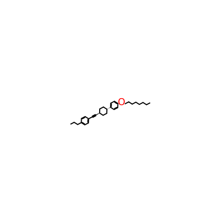 CCCCCCCCOc1ccc([C@H]2CC[C@H](C#Cc3ccc(CCC)cc3)CC2)cc1